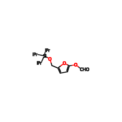 CC(C)[Si](OCc1ccc(OC=O)o1)(C(C)C)C(C)C